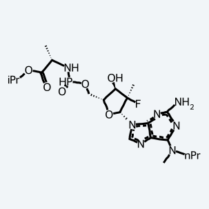 CCCN(C)c1nc(N)nc2c1ncn2[C@@H]1O[C@H](CO[PH](=O)N[C@@H](C)C(=O)OC(C)C)[C@@H](O)[C@@]1(C)F